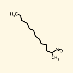 CCCCCCCCCCCC(C)N=O